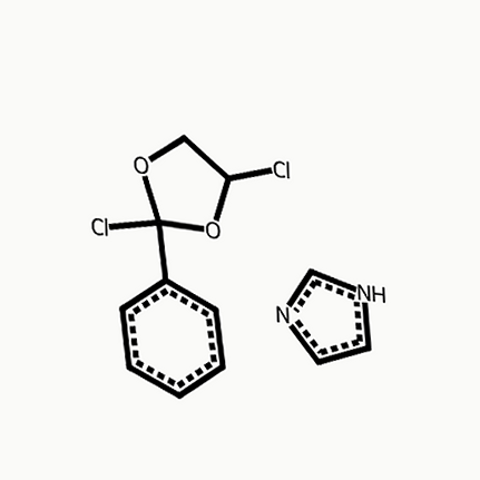 ClC1COC(Cl)(c2ccccc2)O1.c1c[nH]cn1